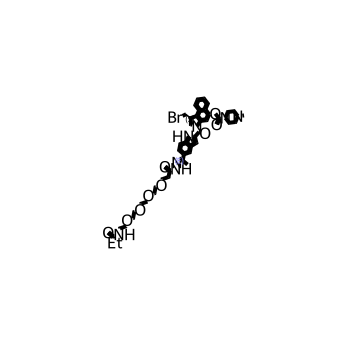 CCC(=O)NCCOCCOCCOCCOCCC(=O)N/N=C(\C)c1ccc2[nH]c(C(=O)N3C[C@@H](CBr)c4c3cc(OC(=O)N3CCN(C)CC3)c3ccccc43)cc2c1